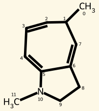 CC1C=CC=C2C(=C1)CCN2C